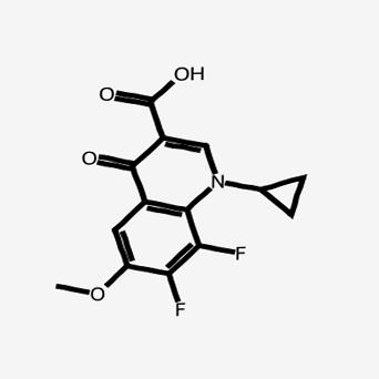 COc1cc2c(=O)c(C(=O)O)cn(C3CC3)c2c(F)c1F